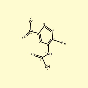 O=C(O)Nc1cc([N+](=O)[O-])ccc1F